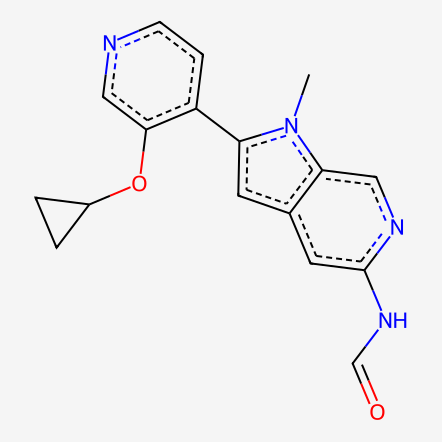 Cn1c(-c2ccncc2OC2CC2)cc2cc(NC=O)ncc21